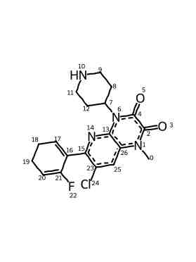 Cn1c(=O)c(=O)n(C2CCNCC2)c2nc(C3=CCCC=C3F)c(Cl)cc21